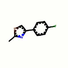 Cc1nc(-c2c[c]c(F)cc2)cs1